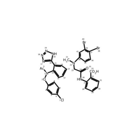 CC(=O)N(Oc1ccc(Cl)cc1)c1ccccc1-c1nnn[nH]1.CN(CC(=O)Nc1ccccc1C(=O)O)c1ccc(Br)c(Br)c1